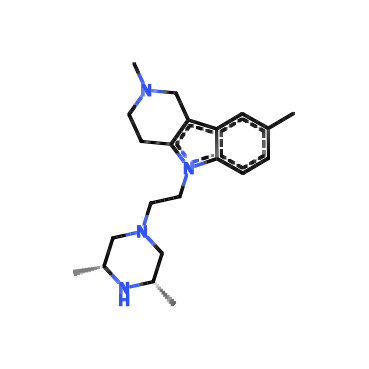 Cc1ccc2c(c1)c1c(n2CCN2C[C@@H](C)N[C@@H](C)C2)CCN(C)C1